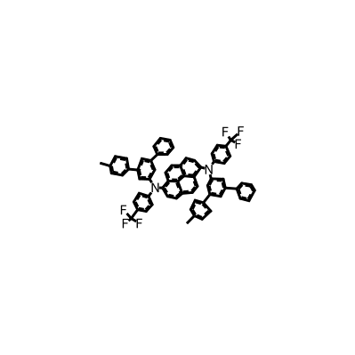 Cc1ccc(-c2cc(-c3ccccc3)cc(N(c3ccc(C(F)(F)F)cc3)c3ccc4ccc5c(N(c6ccc(C(F)(F)F)cc6)c6cc(-c7ccccc7)cc(-c7ccc(C)cc7)c6)ccc6ccc3c4c65)c2)cc1